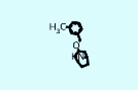 Cc1cccc(COC2CC3CCC(C2)N3)c1